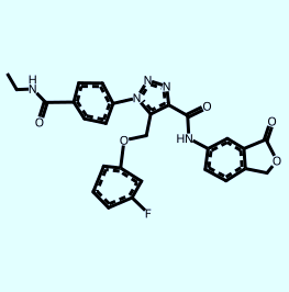 CCNC(=O)c1ccc(-n2nnc(C(=O)Nc3ccc4c(c3)C(=O)OC4)c2COc2cccc(F)c2)cc1